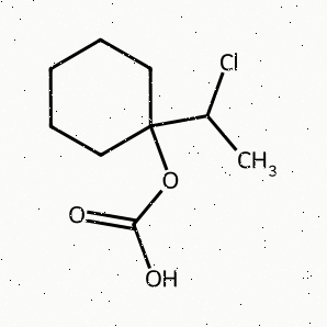 CC(Cl)C1(OC(=O)O)CCCCC1